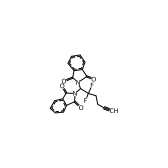 C#CCCC(F)(F)C(N1C(=O)c2ccccc2C1=O)N1C(=O)c2ccccc2C1=O